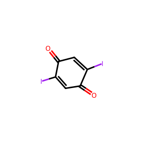 O=C1C=C(I)C(=O)C=C1I